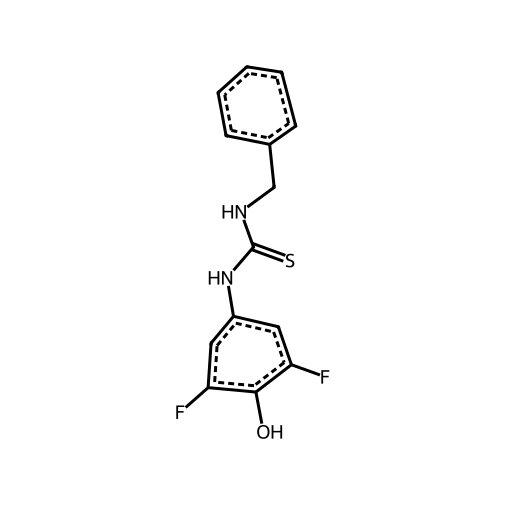 Oc1c(F)cc(NC(=S)NCc2ccccc2)cc1F